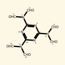 O=CN(C=O)c1nc(N(C=O)C=O)nc(N(C=O)C=O)n1